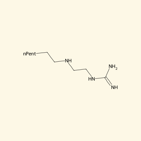 CCCCCCCNCCNC(=N)N